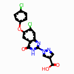 O=C(O)c1cnn(-c2nc3cc(Cl)c(Oc4ccc(Cl)cc4)cc3c(=O)[nH]2)c1